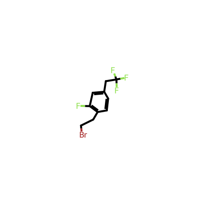 Fc1cc(CC(F)(F)F)ccc1CCBr